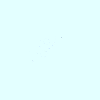 CCCN1CCC(C)C(Nc2ccc(O)c3c2C(=O)c2c(O)ccc(NC4CN5CCC4CC5)c2C3=O)C1